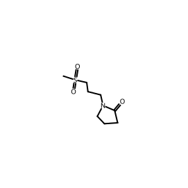 CS(=O)(=O)CCCN1CCCC1=O